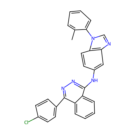 Cc1ccccc1-n1cnc2cc(Nc3nnc(-c4ccc(Cl)cc4)c4ccccc34)ccc21